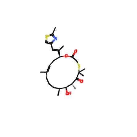 CC1=CC[C@@H](C(C)=Cc2csc(C)n2)OC(=O)CSC(C)(C)C(=O)[C@H](C)[C@@H](O)[C@@H](C)CCC1